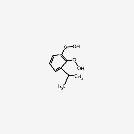 CC(C)c1cccc(OO)c1OO